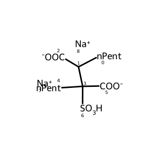 CCCCCC(C(=O)[O-])C(CCCCC)(C(=O)[O-])S(=O)(=O)O.[Na+].[Na+]